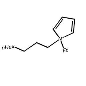 CCCCCCCCC[N+]1(CC)C=CC=C1